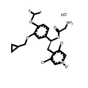 Cl.NCC(=O)O[C@@H](Cc1c(Cl)c[n+]([O-])cc1Cl)c1ccc(OC(F)F)c(OCC2CC2)c1